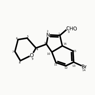 O=CC1=NC(C2CCCCO2)C2C=CC(Br)=CC12